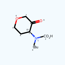 CC(C)(C)N(C(=O)O)[C@H]1CCOCC1=O